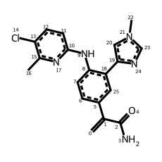 C=C(C(N)=O)c1ccc(Nc2ccc(Cl)c(C)n2)c(-c2cn(C)cn2)c1